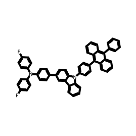 Fc1ccc(N(c2ccc(F)cc2)c2ccc(-c3ccc4c(c3)c3ccccc3n4-c3ccc(-c4c5ccccc5c(-c5ccccc5)c5ccccc45)cc3)cc2)cc1